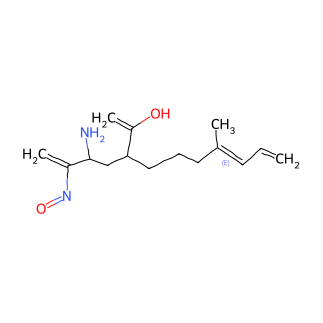 C=C/C=C(\C)CCCC(CC(N)C(=C)N=O)C(=C)O